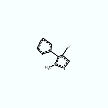 Cn1ncc(Br)c1-c1ccccn1